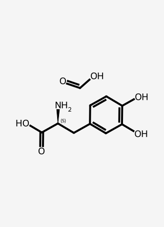 N[C@@H](Cc1ccc(O)c(O)c1)C(=O)O.O=CO